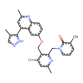 Cc1cc(Cl)c(COc2ccc3nc(C)cc(-c4[nH]ncc4C)c3c2)c(Cn2cccc(C#N)c2=O)n1